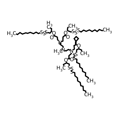 CCCCCCCCCCSSSCC(CC)OC(=O)CCN(CCC(=O)OC(CC)CSSSCCCCCCCCCC)CCN(C)CCN(CCC(=O)OC(CC)CSSSCCCCCCCCCC)CCC(OC(CC)CSSSCCCCCCCCCC)=C1CCC1